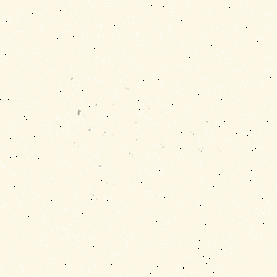 NC(=O)c1cnc(N[C@H]2CC=CC[C@H]2N)nc1Nc1cccc(-n2nccn2)c1